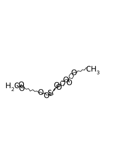 C=CC(=O)OCCCCCCCCOCCOc1ccc(C#CC(=O)Oc2ccc(OC(=O)C3CCC(OCCCCCCC)CC3)cc2)s1